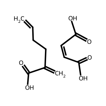 C=CCCC(=C)C(=O)O.O=C(O)/C=C\C(=O)O